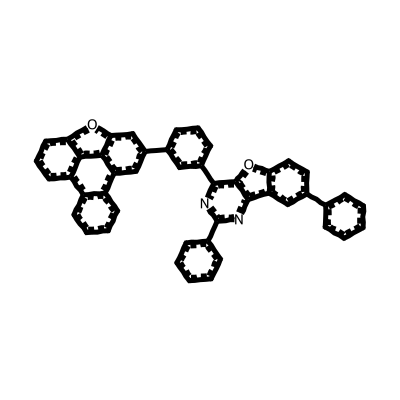 c1ccc(-c2ccc3oc4c(-c5cccc(-c6cc7oc8cccc9c%10ccccc%10c(c6)c7c89)c5)nc(-c5ccccc5)nc4c3c2)cc1